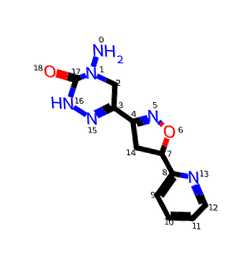 NN1CC(C2=NOC(c3ccccn3)C2)=NNC1=O